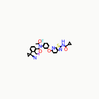 CC(=O)N(C(=O)c1cccc(C2(C#N)CC2)c1CI)c1cc(Oc2ccc3nc(NC(=O)C4CC4)sc3n2)ccc1F